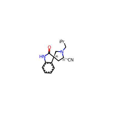 CC(C)CN1C[C@]2(C[C@H]1C#N)C(=O)Nc1ccccc12